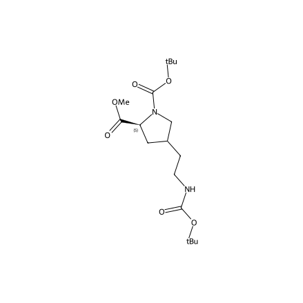 COC(=O)[C@@H]1CC(CCNC(=O)OC(C)(C)C)CN1C(=O)OC(C)(C)C